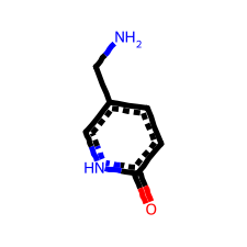 NCc1ccc(=O)[nH]c1